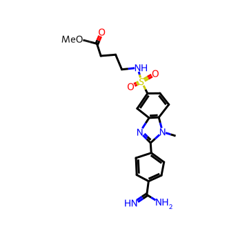 COC(=O)CCCNS(=O)(=O)c1ccc2c(c1)nc(-c1ccc(C(=N)N)cc1)n2C